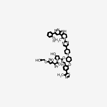 C#CCOc1cc(C(C(=O)N2C[C@H](O)C[C@H]2C(=O)NCc2ccc(-c3scnc3C)cc2O[C@H]2CC[C@@H](N3CCC(c4cnc(N5CCc6[nH]c7nnc(-c8ccccc8O)cc7c6[C@@H]5C)nc4)CC3)CC2)C(C)C)on1